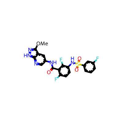 COc1n[nH]c2ncc(NC(=O)c3c(F)ccc(NS(=O)(=O)c4cccc(F)c4)c3F)cc12